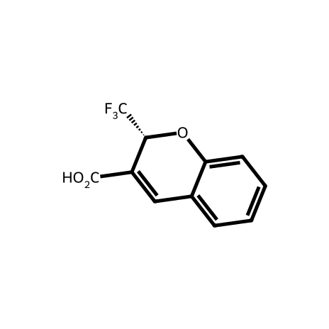 O=C(O)C1=Cc2ccccc2O[C@H]1C(F)(F)F